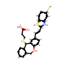 O=C(O)CCSC1c2ccccc2COc2ccc(/C=C/c3nc4cc(F)ccc4s3)cc21